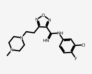 CN1CCN(CCc2nonc2C(=N)Nc2ccc(F)c(Cl)c2)CC1